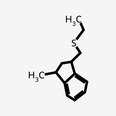 CCSCC1CC(C)c2ccccc21